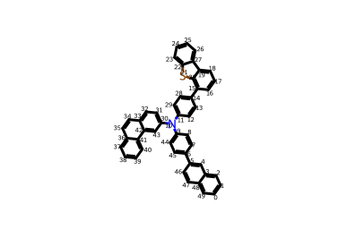 c1ccc2cc(-c3ccc(N(c4ccc(-c5cccc6c5sc5ccccc56)cc4)c4ccc5ccc6ccccc6c5c4)cc3)ccc2c1